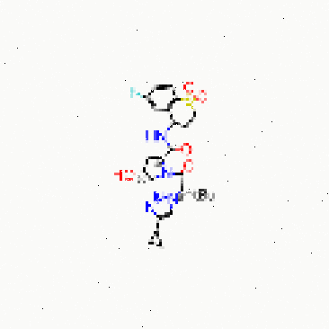 CC(C)(C)[C@@H](C(=O)N1C[C@H](O)C[C@H]1C(=O)NC1CCS(=O)(=O)c2ccc(F)cc21)n1cc(C2CC2)nn1